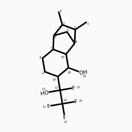 CC1C(C)C2CC1C1CCC(C(O)(F)C(F)(F)F)C(O)C21